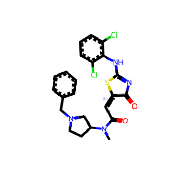 CN(C(=O)/C=C1/SC(Nc2c(Cl)cccc2Cl)=NC1=O)C1CCN(Cc2ccccc2)C1